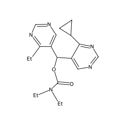 CCc1ncncc1C(OC(=O)N(CC)CC)c1cncnc1C1CC1